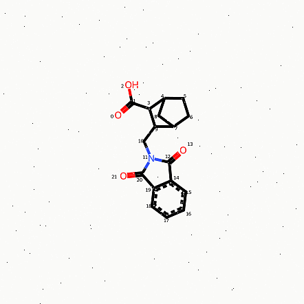 O=C(O)C1C2CCC(C2)C1CN1C(=O)c2ccccc2C1=O